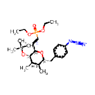 CCOP(=O)(/C=C/[C@H]1O[C@H](Cc2ccc(N=[N+]=[N-])cc2)[C@@H](C)[C@@H](C)[C@@H]1O[Si](C)(C)C)OCC